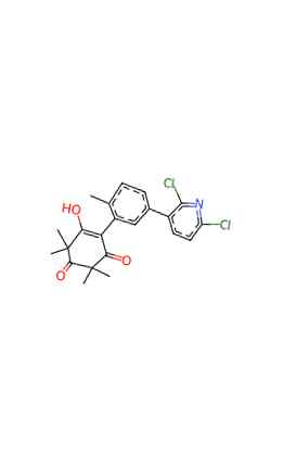 Cc1ccc(-c2ccc(Cl)nc2Cl)cc1C1=C(O)C(C)(C)C(=O)C(C)(C)C1=O